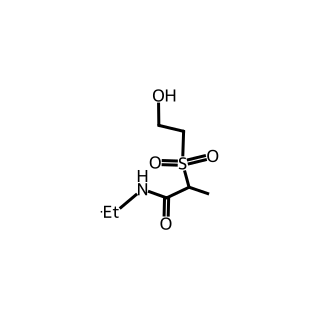 C[CH]NC(=O)C(C)S(=O)(=O)CCO